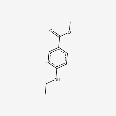 CCNc1[c]cc(C(=O)OC)cc1